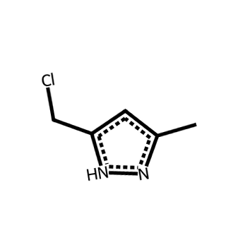 Cc1cc(CCl)[nH]n1